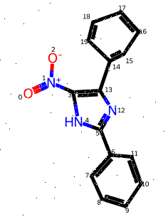 O=[N+]([O-])c1[nH]c(-c2ccccc2)nc1-c1ccccc1